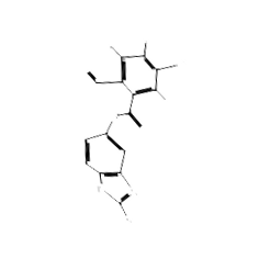 Nc1nc2cc(NC(=O)c3c(Cl)c(Cl)c(Cl)c(Cl)c3C=O)ccc2[nH]1